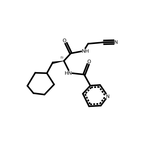 N#CCNC(=O)[C@H](CC1CCCCC1)NC(=O)c1cccnc1